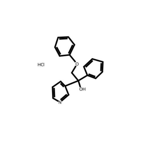 Cl.OC(COc1ccccc1)(c1ccccc1)c1cccnc1